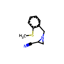 CSc1ccccc1CN1CC1C#N